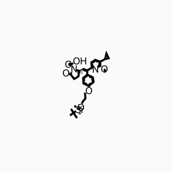 COc1nc(C(=C[C@H]2CCC(=O)N2C(=O)O)c2ccc(OCCCO[Si](C)(C)C(C)(C)C)cc2)ccc1C1CC1